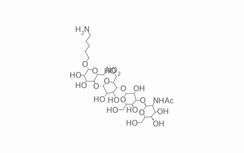 CC(=O)NC1C(O)[C@@H](O)C(CO)O[C@H]1OC1C(O)[C@@H](O[C@H]2C(CO)O[C@@H](O[C@@H]3C(C[N+](=O)[O-])O[C@@H](OCCCCCN)C(O)C3O)C(O)C2O)OC(CO)[C@@H]1O